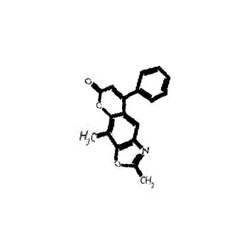 Cc1nc2cc3c(-c4ccccc4)cc(=O)oc3c(C)c2o1